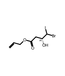 C=CCOC(=O)C[C@@H](O)C(Br)I